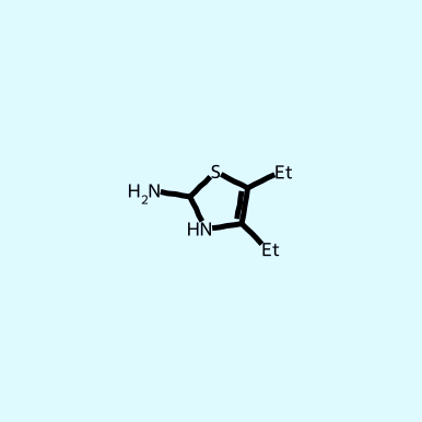 CCC1=C(CC)SC(N)N1